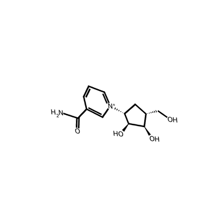 NC(=O)c1ccc[n+]([C@@H]2C[C@H](CO)[C@@H](O)[C@H]2O)c1